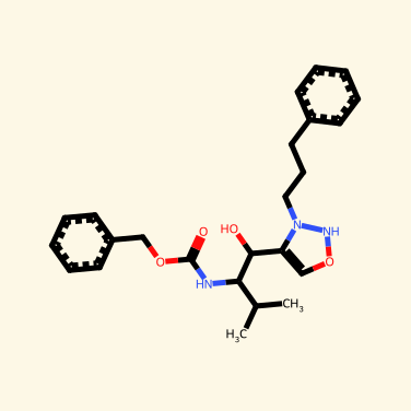 CC(C)C(NC(=O)OCc1ccccc1)C(O)C1=CONN1CCCc1ccccc1